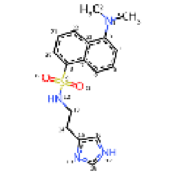 CN(C)c1cccc2c(S(=O)(=O)NCCc3c[nH]cn3)cccc12